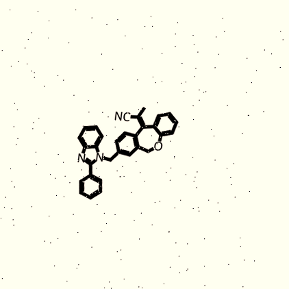 C/C(C#N)=C1/c2ccc(Cn3c(-c4ccccc4)nc4ccccc43)cc2COc2ccccc21